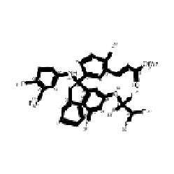 COC(=O)/C=C/c1cc([C@@](Cc2ccccc2)(Nc2ccc(F)c(C(F)(F)F)c2)c2cc(F)cc(OC(F)(F)C(F)F)c2)ccc1F